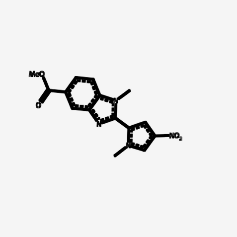 COC(=O)c1ccc2c(c1)nc(-c1cc([N+](=O)[O-])cn1C)n2C